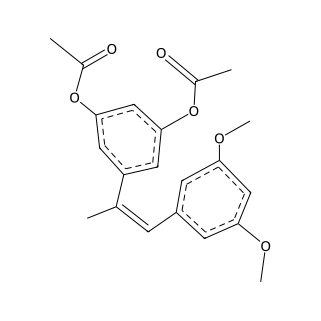 COc1cc(C=C(C)c2cc(OC(C)=O)cc(OC(C)=O)c2)cc(OC)c1